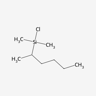 CCCCC(C)[Si](C)(C)Cl